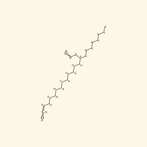 CCCCCCCCC(CC=O)CCCCCCCCCCCC=C=O